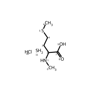 CNC(CCSC)C(=O)O.Cl.S